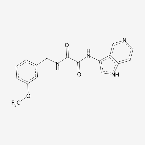 O=C(NCc1cccc(OC(F)(F)F)c1)C(=O)Nc1c[nH]c2ccncc12